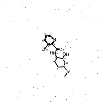 CSN1CCC(NC(=O)c2ncccc2Cl)C(O)C1